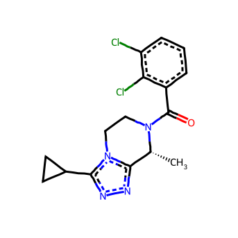 C[C@@H]1c2nnc(C3CC3)n2CCN1C(=O)c1cccc(Cl)c1Cl